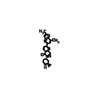 Cc1cn2nc(-c3ccc4c(=O)n([C@H]5CCNC6(CC6)C5)ncc4n3)cc(C)c2n1